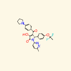 Cc1ccc(N2C(=O)C(O)=C(C(=O)c3ccc(N4CCCC4)cc3)C2c2ccc(OC(C)(F)F)cc2)nn1